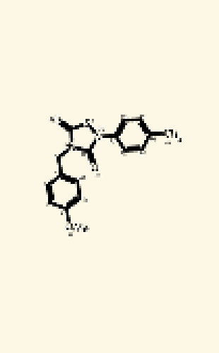 COc1ccc(Cn2c(=O)sn(-c3ccc(C)cc3)c2=O)cc1